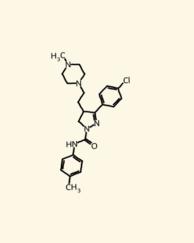 Cc1ccc(NC(=O)N2CC(CCN3CCN(C)CC3)C(c3ccc(Cl)cc3)=N2)cc1